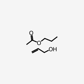 C=CCO.CCCOC(C)=O